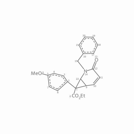 CCOC(=O)C1(c2ccc(OC)cc2)C2C=CC(=O)N(Cc3ccccc3)C21